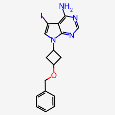 Nc1ncnc2c1c(I)cn2C1CC(OCc2ccccc2)C1